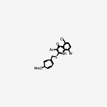 COC1C=CC=C(CSc2[nH]c3c(Br)ccc(Cl)c3c(=O)c2C(C)=O)C=C1